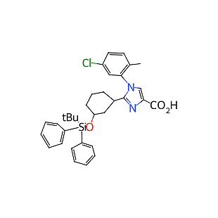 Cc1ccc(Cl)cc1-n1cc(C(=O)O)nc1C1CCCC(O[Si](c2ccccc2)(c2ccccc2)C(C)(C)C)C1